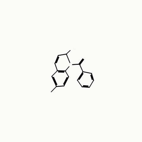 N#CC1C=Cc2cc(Cl)ccc2N1C(=O)c1ccccc1